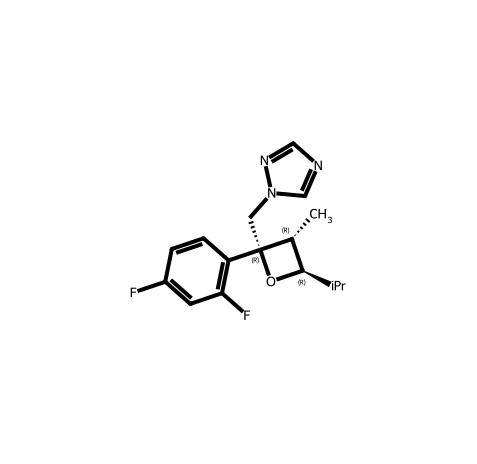 CC(C)[C@H]1O[C@@](Cn2cncn2)(c2ccc(F)cc2F)[C@@H]1C